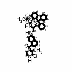 CC1C(=O)NCCN1C(=O)c1cccc2cc(NCC(CSC(c3ccccc3)(c3ccccc3)c3ccccc3)NC(=O)OC(C)(C)C)ccc12